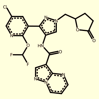 O=C1CCC(Cn2cc(NC(=O)c3cnn4cccnc34)c(-c3cc(Cl)cnc3OC(F)F)n2)O1